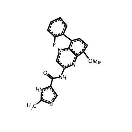 COc1ccc(-c2ccccc2F)c2ncc(NC(=O)c3cbc(C)[nH]3)nc12